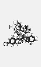 CC(C)(CCl)C(=O)C(Cl)(C(=O)Nc1ccccc1)N1C(=O)N(c2ccc(Cl)cc2)C(C)(C)C1=O